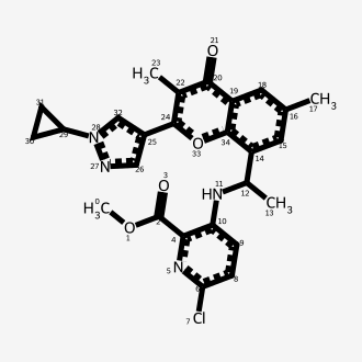 COC(=O)c1nc(Cl)ccc1NC(C)c1cc(C)cc2c(=O)c(C)c(-c3cnn(C4CC4)c3)oc12